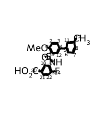 COc1ccc(-c2cccc(C)c2)cc1[S+]([O-])Nc1cc(C(=O)O)ccc1F